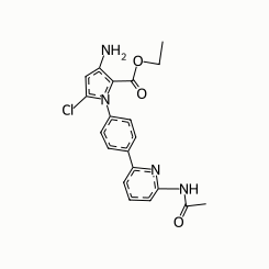 CCOC(=O)c1c(N)cc(Cl)n1-c1ccc(-c2cccc(NC(C)=O)n2)cc1